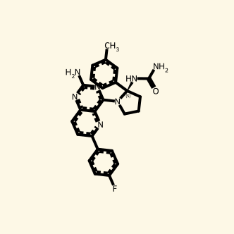 Cc1cccc([C@]2(NC(N)=O)CCCN2c2nc(N)nc3ccc(-c4ccc(F)cc4)nc23)c1